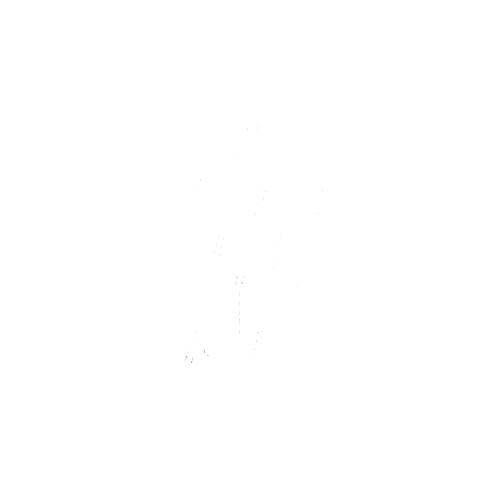 O=c1c2cccc3c2c(cn1C1CN2CCC1CC2)CCC3O